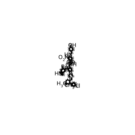 CC1(C)CCC(CN2CCN(c3ccc(C(=O)NS(=O)(=O)c4ccc(NCC5CCC(O)CC5)c([N+](=O)[O-])c4)c(Oc4cc5cc[nH]c5cc4F)c3)CC2)=C(c2ccc(Cl)cc2)C1